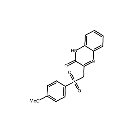 COc1ccc(S(=O)(=O)Cc2nc3ccccc3[nH]c2=O)cc1